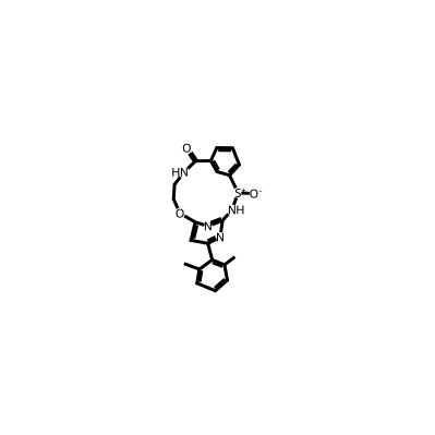 Cc1cccc(C)c1-c1cc2nc(n1)N[S+]([O-])c1cccc(c1)C(=O)NCCO2